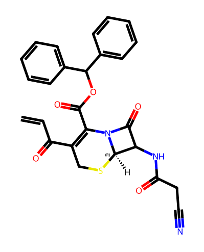 C=CC(=O)C1=C(C(=O)OC(c2ccccc2)c2ccccc2)N2C(=O)C(NC(=O)CC#N)[C@H]2SC1